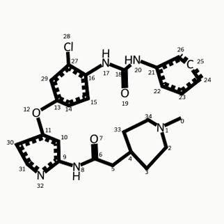 CN1CCC(CC(=O)Nc2cc(Oc3ccc(NC(=O)Nc4ccccc4)c(Cl)c3)ccn2)CC1